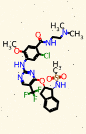 COc1cc(C(=O)NCCN(C)C)c(Cl)cc1Nc1ncc(C(F)(F)F)c(O[C@@H]2Cc3ccccc3[C@H]2NS(C)(=O)=O)n1